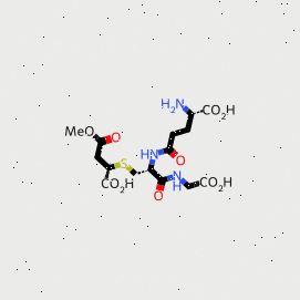 COC(=O)C[C@@H](SC[C@H](NC(=O)CC[C@H](N)C(=O)O)C(=O)NCC(=O)O)C(=O)O